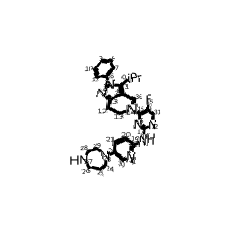 CC(C)c1c2c(nn1-c1ccccc1)CCN(c1nc(Nc3ccc(N4CCCNCC4)cn3)ncc1F)C2